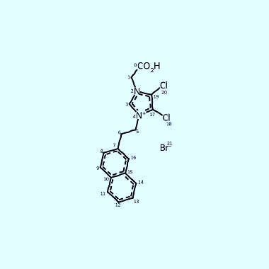 O=C(O)Cn1c[n+](CCc2ccc3ccccc3c2)c(Cl)c1Cl.[Br-]